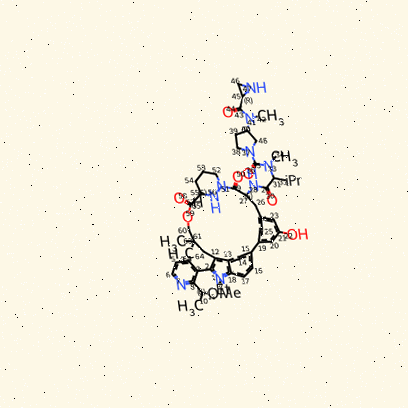 CCn1c(-c2cccnc2[C@H](C)OC)c2c3cc(ccc31)-c1cc(O)cc(c1)C[C@H](NC(=O)C(C(C)C)N(C)C(=O)N1CC[C@H](N(C)C(=O)[C@H]3CN3)C1)C(=O)N1CCC[C@H](N1)C(=O)OCC(C)(C)C2